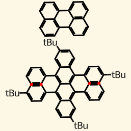 CC(C)(C)c1ccc(-c2c3ccc(C(C)(C)C)cc3c(-c3ccccc3)c3c(-c4ccc(C(C)(C)C)cc4)c4ccc(C(C)(C)C)cc4c(-c4ccccc4)c23)cc1.c1cc2cccc3c4cccc5cccc(c(c1)c23)c54